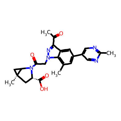 CC(=O)c1nn(CC(=O)N2C3C[C@]3(C)C[C@H]2C(=O)O)c2c(C)cc(-c3cnc(C)nc3)cc12